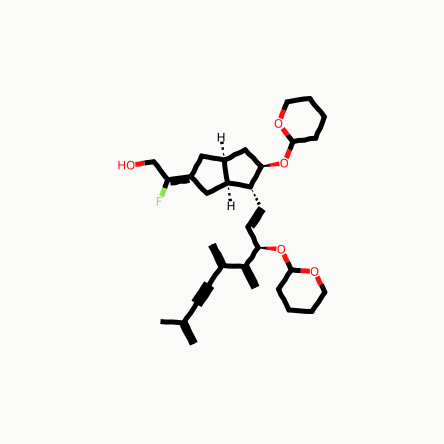 C=C(C)C#CC(=C)C(=C)[C@@H](C=C[C@@H]1[C@H]2CC(=C(F)CO)C[C@H]2C[C@H]1OC1CCCCO1)OC1CCCCO1